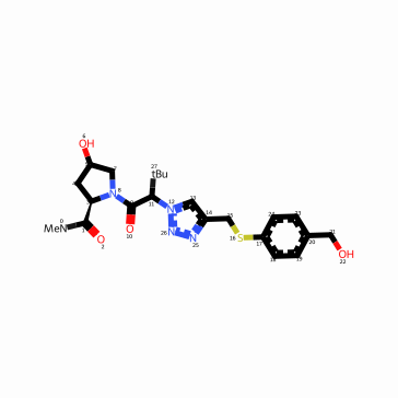 CNC(=O)[C@H]1CC(O)CN1C(=O)C(n1cc(CSc2ccc(CO)cc2)nn1)C(C)(C)C